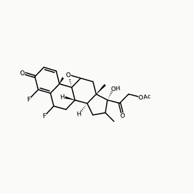 CC(=O)OCC(=O)[C@@]1(O)C(C)C[C@H]2[C@@H]3CC(F)C4=C(F)C(=O)C=C[C@]4(C)[C@]34OC4C[C@@]21C